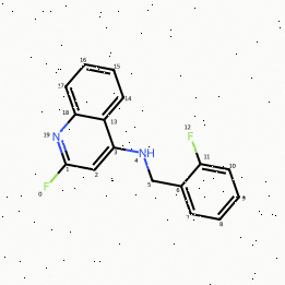 Fc1cc(NCc2ccccc2F)c2ccccc2n1